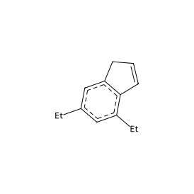 CCc1cc(CC)c2c(c1)CC=C2